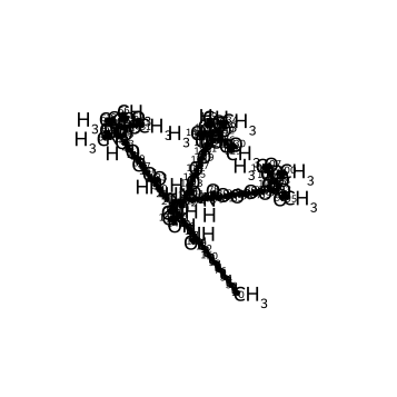 CCCCCCC/C=C/CCCCCCC(=O)NCCCC[C@H](NC(=O)[C@H](CCCCNC(=O)COCCOCCOCCO[C@@H]1O[C@H](COC(C)=O)[C@H](OC(C)=O)[C@H](OC(C)=O)[C@H]1NC(C)=O)NC(=O)[C@H](CCCCNC(=O)COCCOCCOCCO[C@H]1C[C@@H](OC(C)=O)[C@@H](OC(C)=O)[C@@H](COC(C)=O)O1)NC(=O)COCCOCCOCCO[C@@H]1O[C@H](COC(C)=O)[C@H](OC(C)=O)[C@H](OC(C)=O)[C@H]1NC(C)=O)C(=O)O